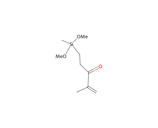 C=C(C)C(=O)CC[Si](C)(OC)OC